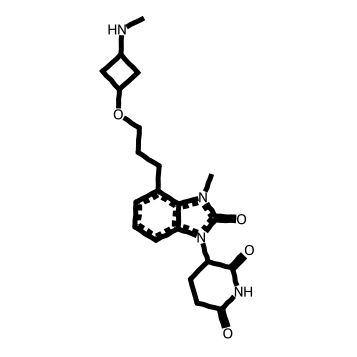 CNC1CC(OCCCc2cccc3c2n(C)c(=O)n3C2CCC(=O)NC2=O)C1